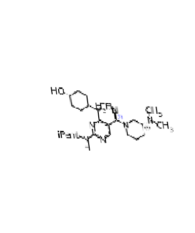 C=C(c1nc(NC(C)CCC)ncc1/C(=N\C)N1CCC[C@@H](N(C)C)C1)[C@H]1CC[C@H](O)CC1